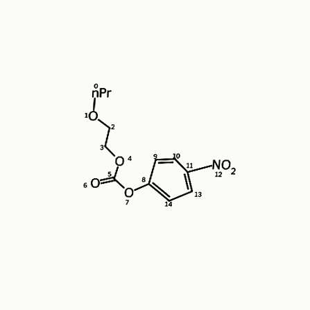 CCCOCCOC(=O)Oc1ccc([N+](=O)[O-])cc1